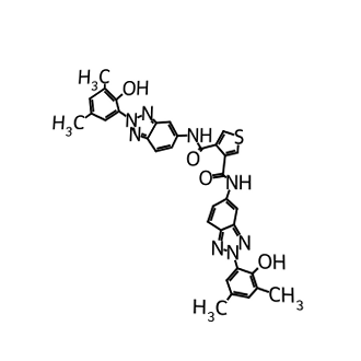 Cc1cc(C)c(O)c(-n2nc3ccc(NC(=O)c4cscc4C(=O)Nc4ccc5nn(-c6cc(C)cc(C)c6O)nc5c4)cc3n2)c1